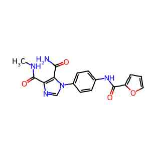 CNC(=O)c1ncn(-c2ccc(NC(=O)c3ccco3)cc2)c1C(N)=O